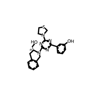 OC[C@H]1Cc2ccccc2CN1c1nc(-c2cccc(O)c2)nc(N2CCSC2)n1